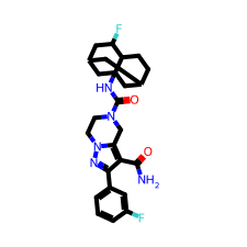 NC(=O)c1c(-c2cccc(F)c2)nn2c1CN(C(=O)NC13CC4CCC1C(F)CC(C4)C3)CC2